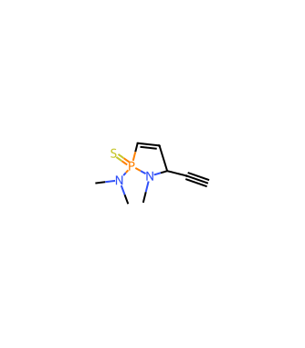 C#CC1C=CP(=S)(N(C)C)N1C